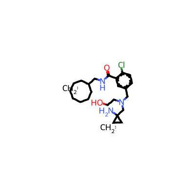 NC1(CN(CCO)Cc2ccc(Cl)c(C(=O)NC[C]3CCCCCCC3)c2)CC1.[CH2].[CH2]